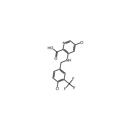 O=C(O)c1ncc(Cl)cc1NCc1ccc(Cl)c(C(F)(F)F)c1